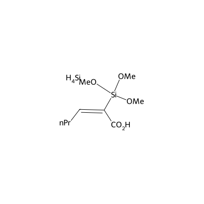 CCC/C=C(\C(=O)O)[Si](OC)(OC)OC.[SiH4]